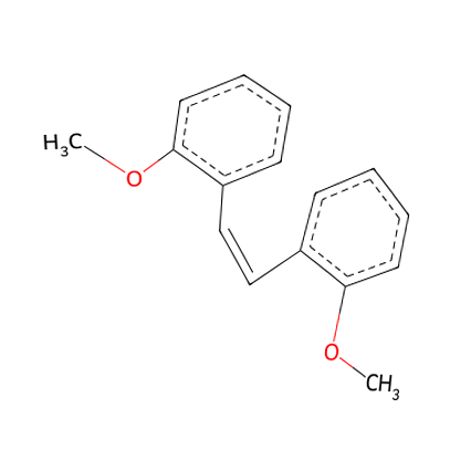 COc1ccccc1/C=C\c1ccccc1OC